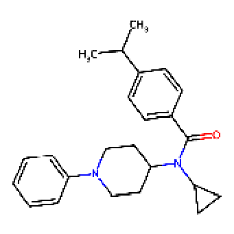 CC(C)c1ccc(C(=O)N(C2CC2)C2CCN(c3ccccc3)CC2)cc1